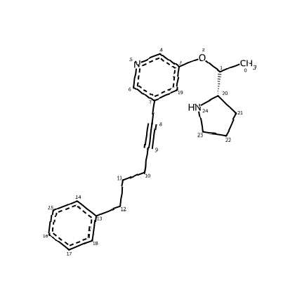 CC(Oc1cncc(C#CCCCc2ccccc2)c1)[C@@H]1CCCN1